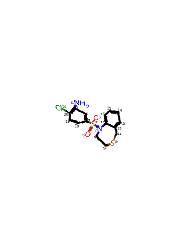 Nc1cc(S(=O)(=O)N2CCSCc3ccccc32)ccc1Cl